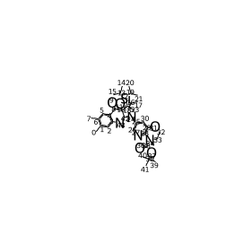 Cc1cc2c(cc1C)C(=O)[C@]1(O[Si](C(C)C)(C(C)C)C(C)C)CCN(c3cnc4c(c3)OCCN4C(=O)OC(C)(C)C)C1=N2